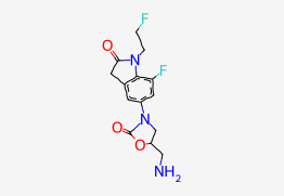 NCC1CN(c2cc(F)c3c(c2)CC(=O)N3CCF)C(=O)O1